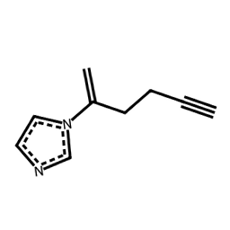 C#CCCC(=C)n1ccnc1